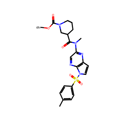 Cc1ccc(S(=O)(=O)n2ccc3nc(N(C)C(=O)C4CCCN(C(=O)OC(C)(C)C)C4)cnc32)cc1